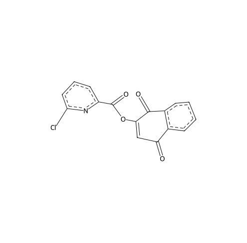 O=C(OC1=CC(=O)c2ccccc2C1=O)c1cccc(Cl)n1